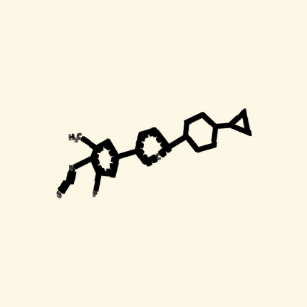 Cc1cc(-c2ccc(C3CCC(C4CC4)CC3)cc2)cc(F)c1N=C=S